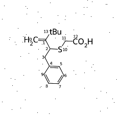 C=C(C(Cc1ccccc1)SCC(=O)O)C(C)(C)C